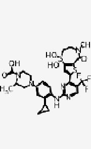 CC1CN(c2ccc(Nc3ncc(C(F)(F)F)c(-c4cc5c(s4)C(=O)N(C)CCS5(O)O)n3)c(C3CC3)c2)CCN1C(=O)O